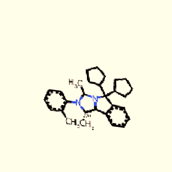 Cc1ccccc1N1C(C)N2C(c3ccccc3C2(C2CCCC2)C2CCCC2)[C@@H]1C